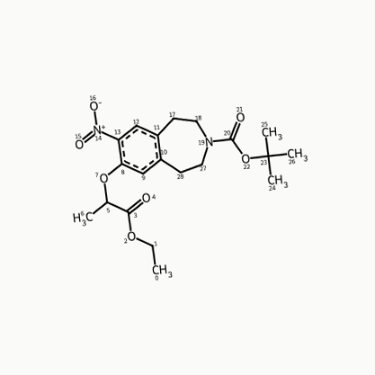 CCOC(=O)C(C)Oc1cc2c(cc1[N+](=O)[O-])CCN(C(=O)OC(C)(C)C)CC2